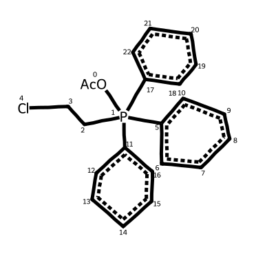 CC(=O)OP(CCCl)(c1ccccc1)(c1ccccc1)c1ccccc1